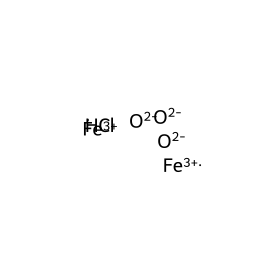 Cl.[Fe+3].[Fe+3].[O-2].[O-2].[O-2]